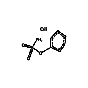 O=S(=O)(P)Oc1ccccc1.[CsH]